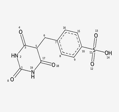 O=C1NC(=O)C(Cc2ccc(S(=O)(=O)O)cc2)C(=O)N1